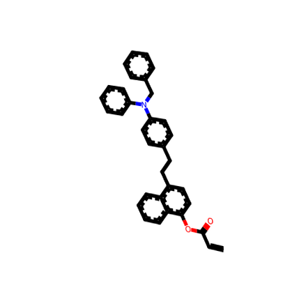 C=CC(=O)Oc1ccc(CCc2ccc(N(Cc3ccccc3)c3ccccc3)cc2)c2ccccc12